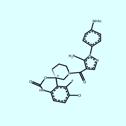 CC(=O)Nc1ccc(-n2ncc(C(=O)N3CCC[C@@]4(C3)OC(=O)Nc3ccc(Cl)c(F)c34)c2N)cc1